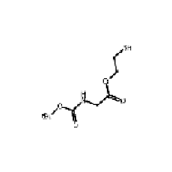 CC(C)(C)OC(=O)NCC(=O)OCCS